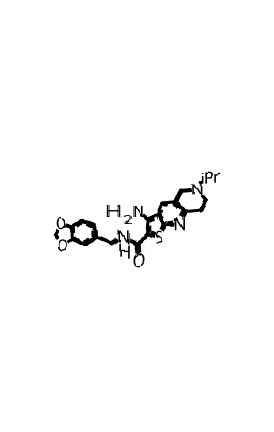 CC(C)N1CCc2nc3sc(C(=O)NCc4ccc5c(c4)OCO5)c(N)c3cc2C1